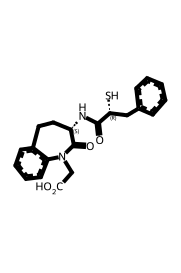 O=C(O)CN1C(=O)[C@@H](NC(=O)[C@H](S)Cc2ccccc2)CCc2ccccc21